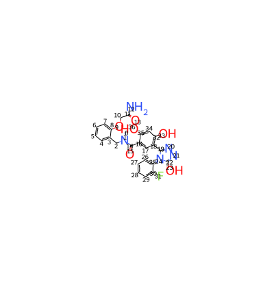 CN(Cc1ccccc1OCC(N)=O)C(=O)c1cc(-c2nnc(O)n2-c2ccccc2F)c(O)cc1O